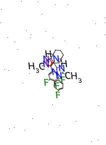 Cc1nc(C(=O)N2[C@@H]3CCC[C@H]2c2nn(C)c(-c4cc(F)c(F)c(F)c4)c2C3)nn1-c1ccc(F)cc1